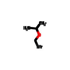 [CH2]C([SiH3])OCCCC